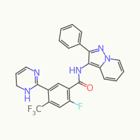 O=C(Nc1c(-c2ccccc2)nn2ccccc12)c1cc(C2=NC=CCN2)c(C(F)(F)F)cc1F